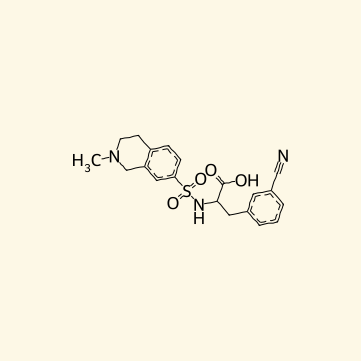 CN1CCc2ccc(S(=O)(=O)NC(Cc3cccc(C#N)c3)C(=O)O)cc2C1